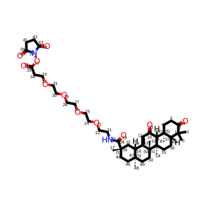 CC1(C)C(=O)CC[C@]2(C)[C@H]3C(=O)C=C4[C@H]5C[C@@](C)(C(=O)NCCOCCOCCOCCOCCC(=O)ON6C(=O)CCC6=O)CC[C@]5(C)CC[C@@]4(C)[C@]3(C)CC[C@@H]12